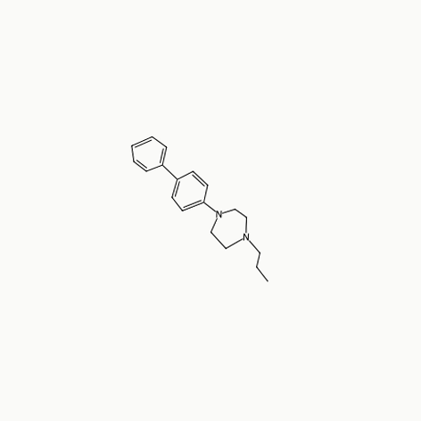 CCCN1CCN(c2ccc(-c3ccccc3)cc2)CC1